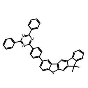 CC1(C)c2ccccc2-c2cc3c(cc21)sc1ccc(-c2ccc(-c4nc(-c5ccccc5)nc(-c5ccccc5)n4)cc2)cc13